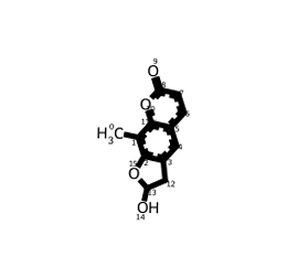 Cc1c2c(cc3ccc(=O)oc13)CC(O)O2